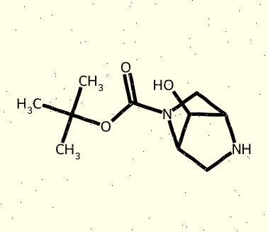 CC(C)(C)OC(=O)N1CC2NCC1C2O